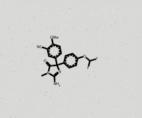 COc1ccc(C2(c3ccc(OC(F)F)cc3)N=C(N)N(C)C2=O)cc1C#N